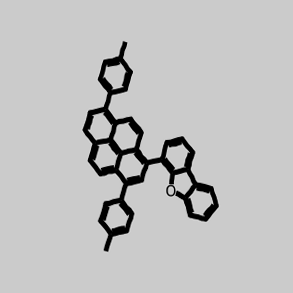 Cc1ccc(-c2ccc3ccc4c(-c5ccc(C)cc5)cc(-c5cccc6c5oc5ccccc56)c5ccc2c3c45)cc1